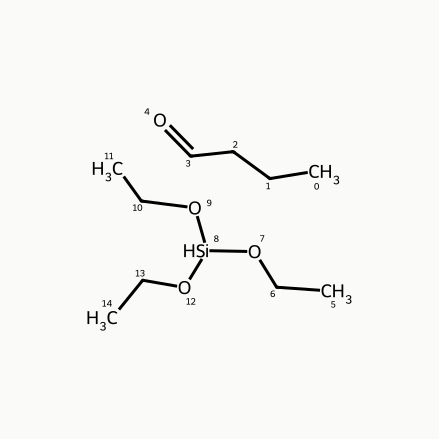 CCCC=O.CCO[SiH](OCC)OCC